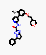 Cc1ccc(OCCC2CCOCC2)cc1-c1ccnc(NC(=O)c2nc3n(n2)C(c2ccccc2)CC3)c1